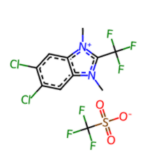 Cn1c(C(F)(F)F)[n+](C)c2cc(Cl)c(Cl)cc21.O=S(=O)([O-])C(F)(F)F